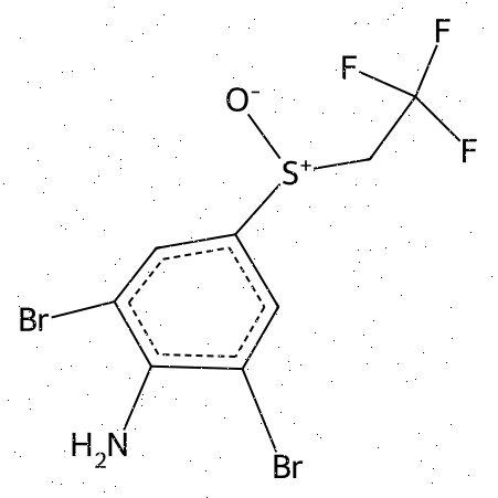 Nc1c(Br)cc([S+]([O-])CC(F)(F)F)cc1Br